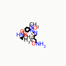 CC(CC(N)=O)c1cnc(-n2c(=O)n(C)c3ccc(S(=O)(=O)NC4(C)CC4)cc32)s1